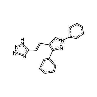 C(=C\c1cn(-c2ccccc2)nc1-c1ccccc1)/c1nnn[nH]1